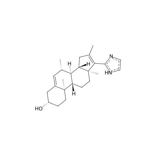 CC1=C(c2ncc[nH]2)[C@@]2(C)CC[C@H]3[C@@H]([C@@H](C)C=C4C[C@@H](O)CC[C@@]43C)[C@@H]2C1